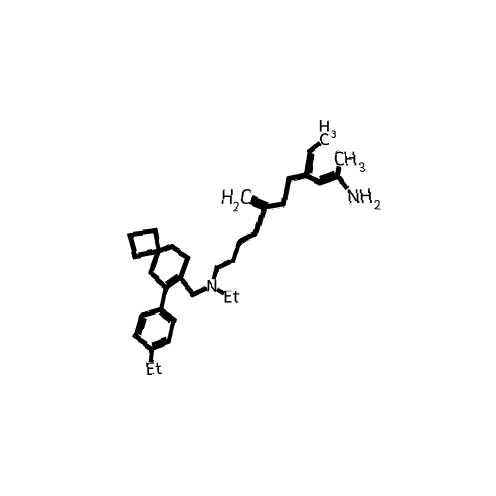 C=C(CCCCN(CC)CC1=C(c2ccc(CC)cc2)CC2(CCC2)CC1)CCC(=C/C)/C=C(\C)N